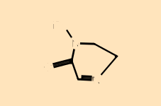 CC(C)N1CCN=CC1=O